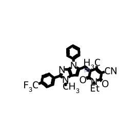 CCN1C(=O)C(C#N)=C(C)/C(=C/c2cc3c(nc(-c4ccc(C(F)(F)F)cc4)n3C)n2-c2ccccc2)C1=O